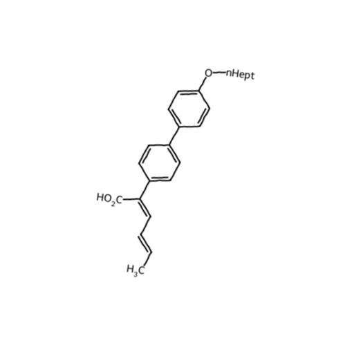 CC=CC=C(C(=O)O)c1ccc(-c2ccc(OCCCCCCC)cc2)cc1